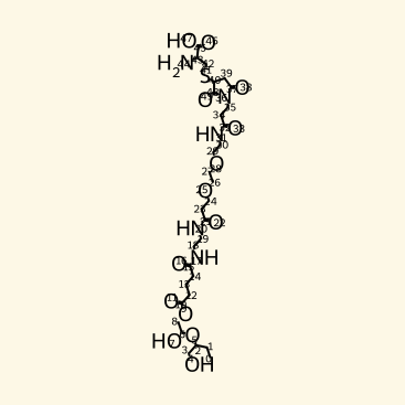 CCC(CO)OC(O)COC(=O)CCCC(=O)NCCNC(=O)CCOCCOCCNC(=O)CCN1C(=O)CC(SCC(N)C(=O)O)C1=O